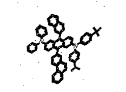 CC(C)c1ccc(N(c2ccc(C(C)(C)C)cc2)c2ccc3c(-c4ccc5ccccc5c4)c4cc(N(c5ccccc5)c5ccccc5)ccc4c(-c4ccc5c(ccc6ccccc65)c4)c3c2)cc1